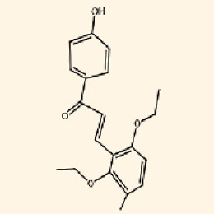 CCOc1ccc(C)c(OCC)c1C=CC(=O)c1ccc(O)cc1